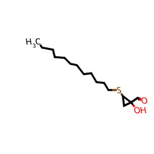 CCCCCCCCCCCCSC1CC1(O)C=O